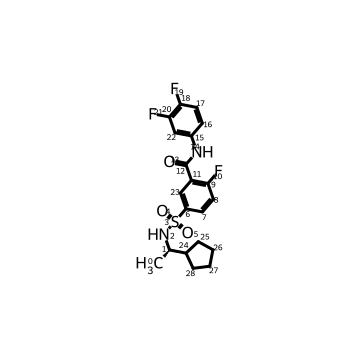 C[C@@H](NS(=O)(=O)c1ccc(F)c(C(=O)Nc2ccc(F)c(F)c2)c1)C1CCCC1